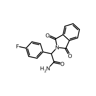 NC(=O)C(c1ccc(F)cc1)N1C(=O)c2ccccc2C1=O